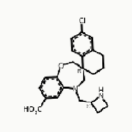 O=C(O)c1ccc2c(c1)N(C[C@@H]1CCN1)C[C@@]1(CCCc3cc(Cl)ccc31)CO2